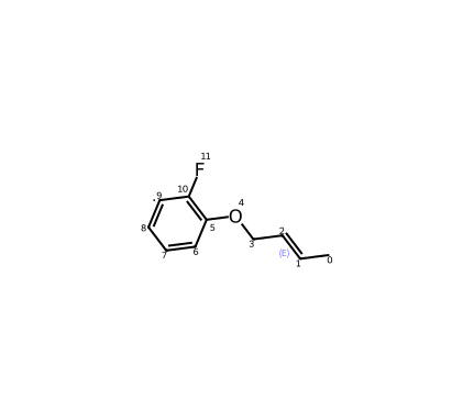 C/C=C/COc1ccc[c]c1F